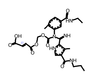 CCCNC(=O)c1c[nH]c(C(=N)N(C(=O)OCOC(=O)/C=C/C(=O)O)c2cc(C(=O)NCC)ccc2C)c1C